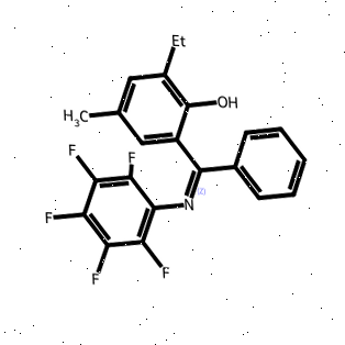 CCc1cc(C)cc(/C(=N\c2c(F)c(F)c(F)c(F)c2F)c2ccccc2)c1O